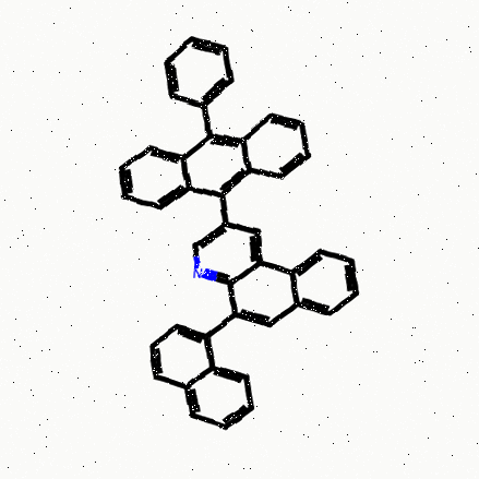 c1ccc(-c2c3ccccc3c(-c3cnc4c(-c5cccc6ccccc56)cc5ccccc5c4c3)c3ccccc23)cc1